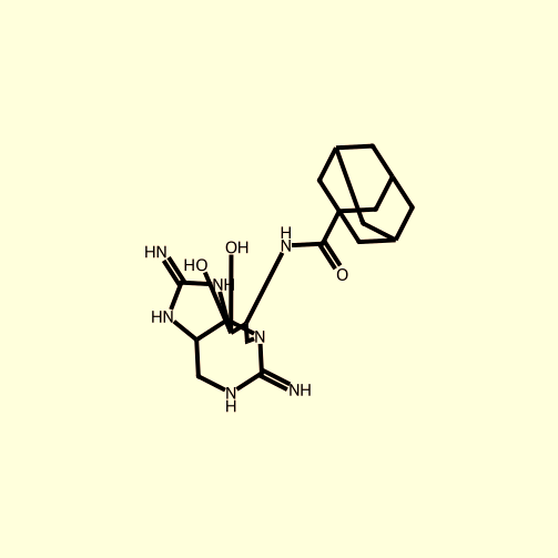 N=C1NC2CNC(=N)N3CC(NC(=O)C45CC6CC(CC(C6)C4)C5)C(O)(O)C23N1